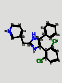 Clc1cccc(Cl)c1-c1nc(Cc2cccnc2)[nH]c1-c1ccccc1